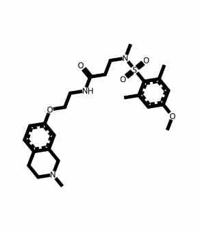 COc1cc(C)c(S(=O)(=O)N(C)CCC(=O)NCCOc2ccc3c(c2)CN(C)CC3)c(C)c1